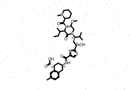 CCC(C)C(NC(=O)C1CCCCN1C)C(=O)N(CCOC)[C@H](C[C@@H](O)c1nc(C(=O)N[C@H]2Cc3ccc(C)cc3[C@H](C(=O)O)C2)cs1)C(C)C